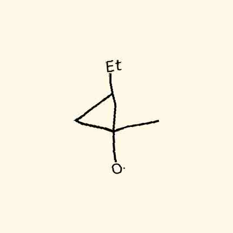 CCC1CC1(C)[O]